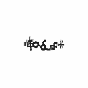 CCc1cc(CN2CC3(CCN(S(C)(=O)=O)C3)C2)ccc1-c1ccc2c(c1)C(F)(F)C2(O)C(F)(F)F